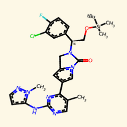 Cc1cnc(Nc2ccnn2C)nc1-c1cc2n(c1)C(=O)N([C@H](CO[Si](C)(C)C(C)(C)C)c1ccc(F)c(Cl)c1)C2